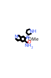 CON(c1cc2cnccc2cc1C(N)=O)[C@H]1CCCNC1